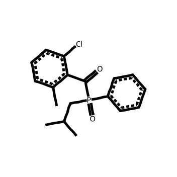 Cc1cccc(Cl)c1C(=O)P(=O)(CC(C)C)c1ccccc1